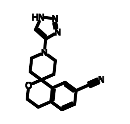 N#Cc1ccc2c(c1)C1(CCN(c3c[nH]nn3)CC1)OCC2